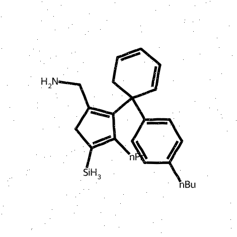 CCCCc1ccc(C2(C3=C(CN)CC([SiH3])=C3CCC)C=CC=CC2)cc1